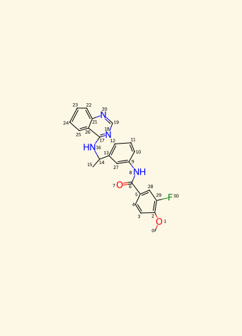 COc1ccc(C(=O)Nc2cccc(C(C)Nc3ncnc4ccccc34)c2)cc1F